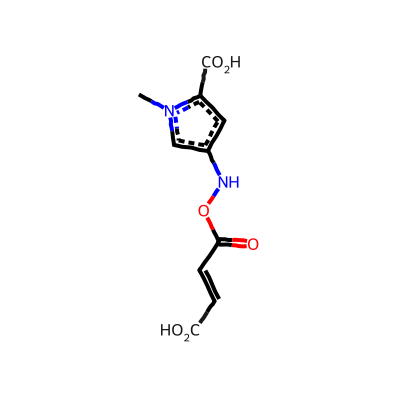 Cn1cc(NOC(=O)C=CC(=O)O)cc1C(=O)O